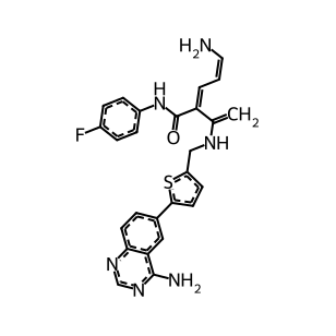 C=C(NCc1ccc(-c2ccc3ncnc(N)c3c2)s1)/C(=C\C=C/N)C(=O)Nc1ccc(F)cc1